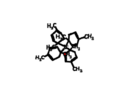 CC1=CCC(C)([B-](C2(C)C=CC(C)=CC2)(C2(C)C=CC(C)=CC2)C2(C)C=CC(C)=CC2)C=C1